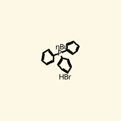 Br.CCCC[P](c1ccccc1)(c1ccccc1)c1ccccc1